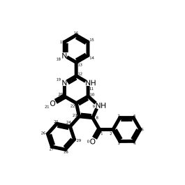 O=C(c1ccccc1)c1[nH]c2[nH]c(-c3ccccn3)nc(=O)c2c1-c1ccccc1